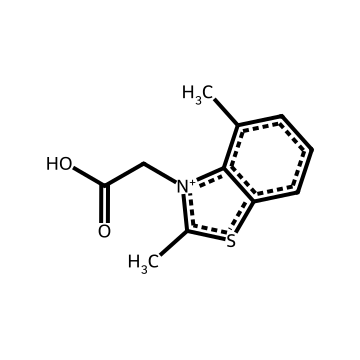 Cc1cccc2sc(C)[n+](CC(=O)O)c12